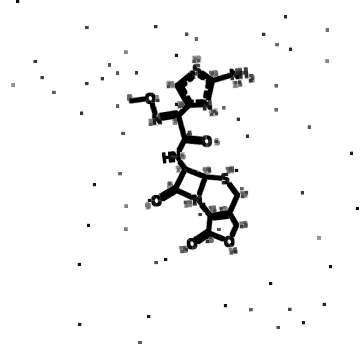 CON=C(C(=O)NC1C(=O)N2C3=C(COC3=O)CSC12)c1csc(N)n1